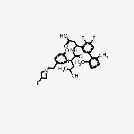 Cc1cccc(C)c1-c1cc(F)c(F)c(C(CC(=O)O)NC(=O)C(CC(C)C)n2cc(CCN3CC(F)C3)ccc2=O)c1